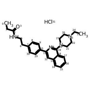 CCC(=O)NCCc1ccc(-c2cc3ccccc3c(N3CCN(CC)CC3)n2)cc1.Cl